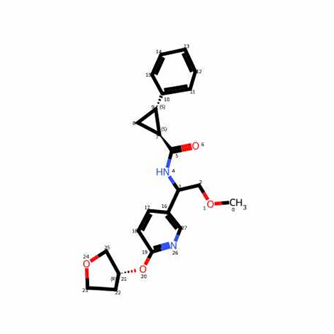 COCC(NC(=O)[C@H]1C[C@@H]1c1ccccc1)c1ccc(O[C@@H]2CCOC2)nc1